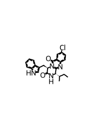 CCC(C)[C@@H]1NC(=O)[C@@H](Cc2c[nH]c3ccccc23)n2c1nc1ccc(Cl)cc1c2=O